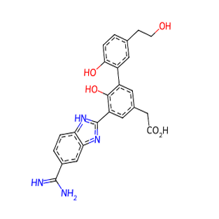 N=C(N)c1ccc2[nH]c(-c3cc(CC(=O)O)cc(-c4cc(CCO)ccc4O)c3O)nc2c1